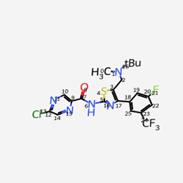 CN(Cc1sc(NC(=O)c2cnc(Cl)cn2)nc1-c1cc(F)cc(C(F)(F)F)c1)C(C)(C)C